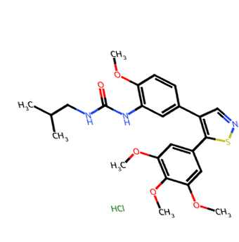 COc1ccc(-c2cnsc2-c2cc(OC)c(OC)c(OC)c2)cc1NC(=O)NCC(C)C.Cl